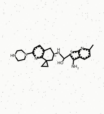 Cc1ccc2c(N)c(C(O)N[C@@H]3Cc4ccc(N5CCNCC5)nc4C4(CC4)C3)sc2n1